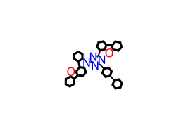 c1ccc(-c2ccc(-c3nc(-c4cccc5c4oc4ccccc45)nc(-n4c5ccccc5c5c6oc7ccccc7c6ccc54)n3)cc2)cc1